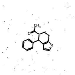 CC(=O)N1CCc2sccc2C1c1ccccc1